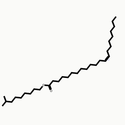 CCCCCCCC/C=C\CCCCCCCCCCCC(=O)OCCCCCCCC(C)C